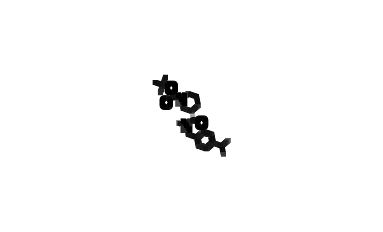 CC(C)c1ccc(CN(C)C(=O)[C@H]2CCCN(C(=O)OC(C)(C)C)C2)cc1